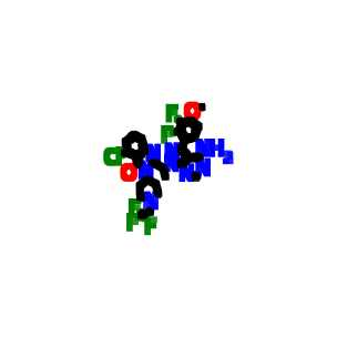 COc1ccc(-c2nn(C(C)c3nc4cccc(Cl)c4c(=O)n3C3CCN(CC(F)(F)F)CC3)c3ncnc(N)c23)c(F)c1F